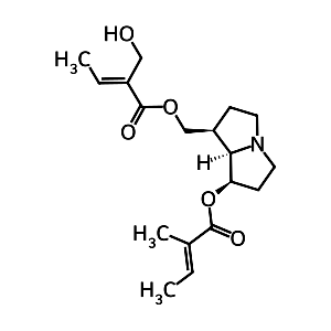 C/C=C(\C)C(=O)O[C@@H]1CCN2CC[C@H](COC(=O)/C(=C/C)CO)[C@H]12